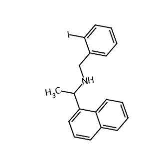 CC(NCc1ccccc1I)c1cccc2ccccc12